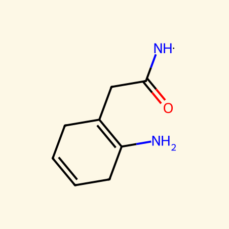 [NH]C(=O)CC1=C(N)CC=CC1